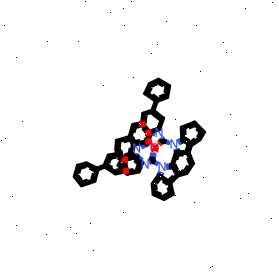 C1=CC(c2nc(-c3ccc(-c4ccccc4)cc3)nc(-n3c4ccccc4c4ccc5c6ccccc6n(-c6nc7ccc8ccc9ccccc9c8c7o6)c5c43)n2)CC=C1c1ccccc1